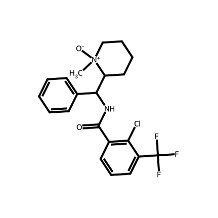 C[N+]1([O-])CCCCC1C(NC(=O)c1cccc(C(F)(F)F)c1Cl)c1ccccc1